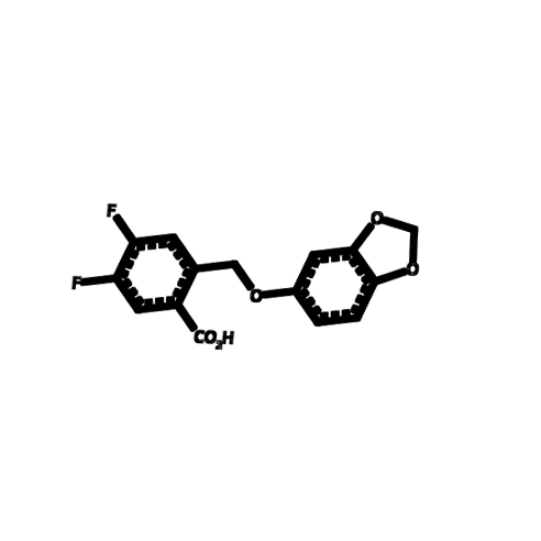 O=C(O)c1cc(F)c(F)cc1COc1ccc2c(c1)OCO2